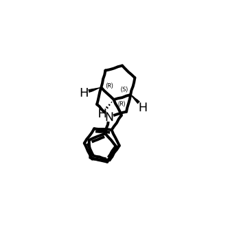 C1=CCC(N2C[C@H]3CCC[C@@H](C2)[C@@H]3Cc2ccccc2)=C1